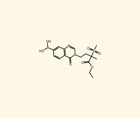 CCOC(=O)C(C)(CCn1cnc2cc(B(O)O)ccc2c1=O)S(C)(=O)=O